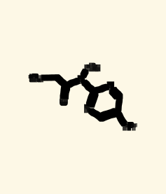 CCCCN(C(=O)CC(C)(C)C)c1ncc(CCC)cn1